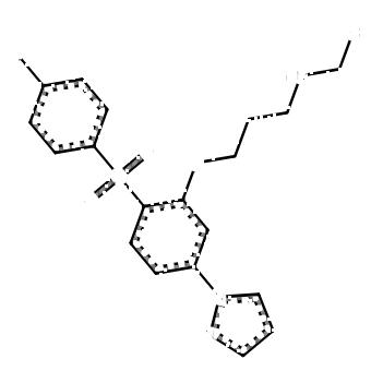 CCNCCCOc1cc(-n2cccn2)ccc1S(=O)(=O)c1ccc(Cl)cc1